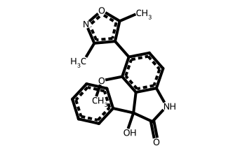 COc1c(-c2c(C)noc2C)ccc2c1C(O)(c1ccccc1)C(=O)N2